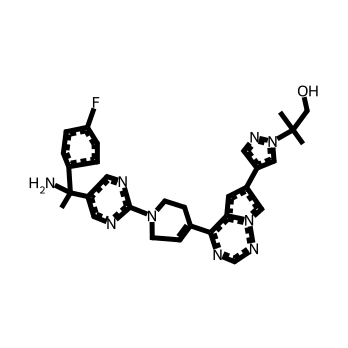 CC(N)(c1ccc(F)cc1)c1cnc(N2CC=C(c3ncnn4cc(-c5cnn(C(C)(C)CO)c5)cc34)CC2)nc1